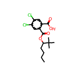 CCCCC(OC(=O)c1cc(Cl)c(Cl)cc1C(=O)O)C(C)(C)C